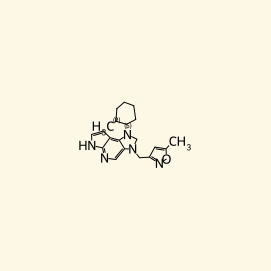 Cc1cc(CN2CN([C@H]3CCCC[C@H]3C)c3c2cnc2[nH]ccc32)no1